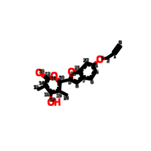 C#CCOc1ccc2cc(-c3oc(=O)c(C)c(O)c3C)oc2c1